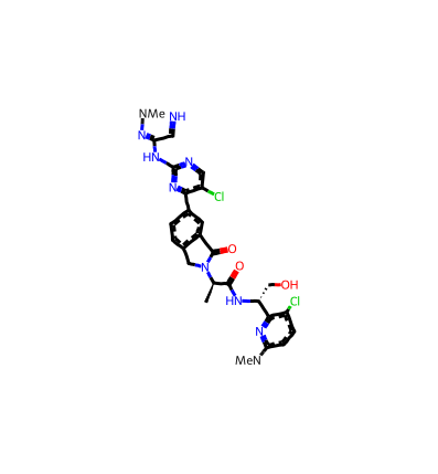 CN/N=C(\C=N)Nc1ncc(Cl)c(-c2ccc3c(c2)C(=O)N([C@H](C)C(=O)N[C@H](CO)c2nc(NC)ccc2Cl)C3)n1